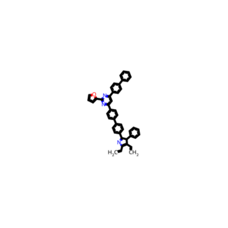 C=CC1=C(C=C)C(c2ccccc2)C(c2ccc(-c3ccc(-c4cc(-c5ccc(-c6ccccc6)cc5)nc(-c5ccco5)n4)cc3)cc2)=N1